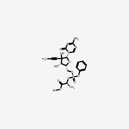 CC#CC1(O)[C@@H](O)[C@@H](CO[P@](=O)(Oc2ccccc2)O[C@@H](C)C(=O)OC(C)C)O[C@H]1n1cnc(N)nc1=O